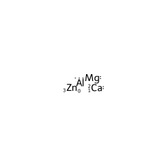 [Al].[Ca].[Mg].[Zn]